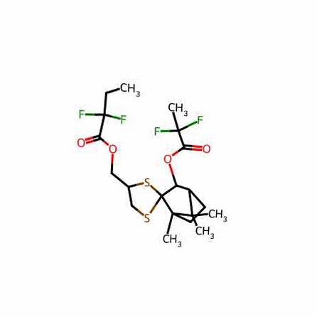 CCC(F)(F)C(=O)OCC1CSC2(S1)C(OC(=O)C(C)(F)F)C1CCC2(C)C1(C)C